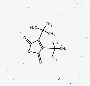 CC(C)(C)C1=C(C(C)(C)C)C(=O)OC1=O